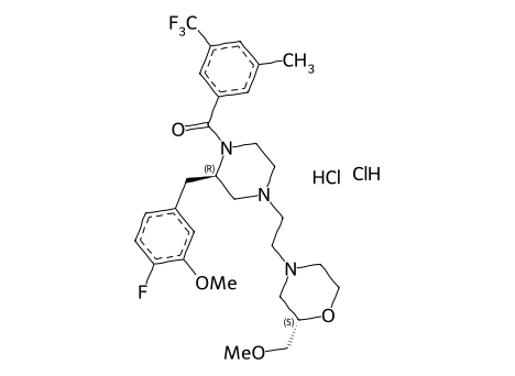 COC[C@@H]1CN(CCN2CCN(C(=O)c3cc(C)cc(C(F)(F)F)c3)[C@H](Cc3ccc(F)c(OC)c3)C2)CCO1.Cl.Cl